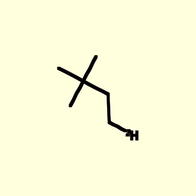 [2H]CCC(C)(C)C